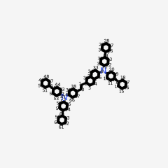 C(=C\c1ccc2cc(N(c3ccc(-c4ccccc4)cc3)c3ccc(-c4ccccc4)cc3)ccc2c1)/c1ccc(N(c2ccc(-c3ccccc3)cc2)c2ccc(-c3ccccc3)cc2)cc1